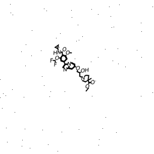 CCOC(=O)C1(C)CCN(CC(O)COc2ccn3c(-c4cc(OC)c(C(=O)NC5CC5)c(OC(F)F)c4)cnc3c2)CC1